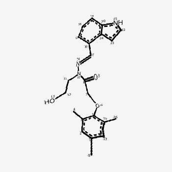 Cc1cc(C)c(OCC(=O)N(CCO)N=Cc2cccc3[nH]ccc23)c(C)c1